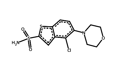 NS(=O)(=O)c1cc2c(Cl)c(N3CCOCC3)ccc2s1